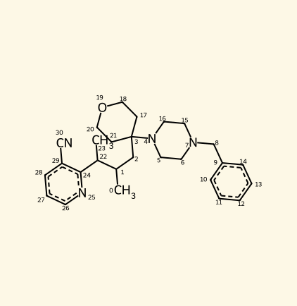 CC(CC1(N2CCN(Cc3ccccc3)CC2)CCOCC1)C(C)c1ncccc1C#N